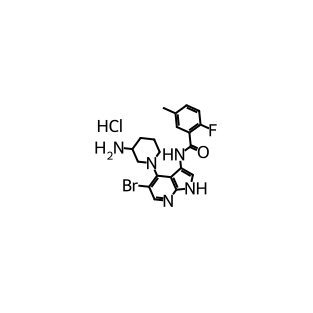 Cc1ccc(F)c(C(=O)Nc2c[nH]c3ncc(Br)c(N4CCCC(N)C4)c23)c1.Cl